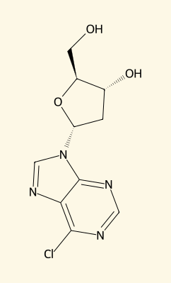 OC[C@@H]1O[C@@H](n2cnc3c(Cl)ncnc32)C[C@H]1O